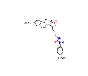 COc1ccc(NC(=O)NCCC[C@@H]2CC(=O)[C@@]3(C)CCC4c5ccc(OC)cc5CCC4C23)cc1